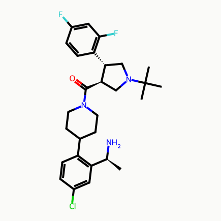 C[C@H](N)c1cc(Cl)ccc1C1CCN(C(=O)[C@@H]2CN(C(C)(C)C)C[C@H]2c2ccc(F)cc2F)CC1